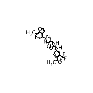 CC(=O)c1ncc(NC(=O)Nc2cnc(-c3cnc(C)c4occc34)nc2C)cc1C(F)(F)F